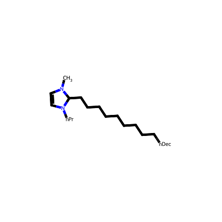 CCCCCCCCCCCCCCCCCCCC1N(C)C=CN1CCC